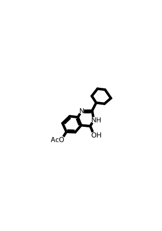 CC(=O)Oc1ccc2c(c1)C(O)NC(C1CCCCC1)=N2